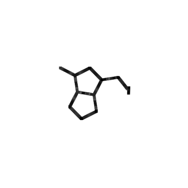 CC1CC(CI)C2CCCC12